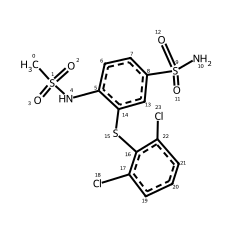 CS(=O)(=O)Nc1ccc(S(N)(=O)=O)cc1Sc1c(Cl)cccc1Cl